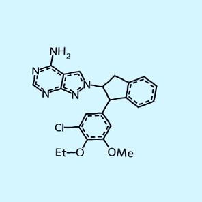 CCOc1c(Cl)cc(C2c3ccccc3CC2n2cc3c(N)ncnc3n2)cc1OC